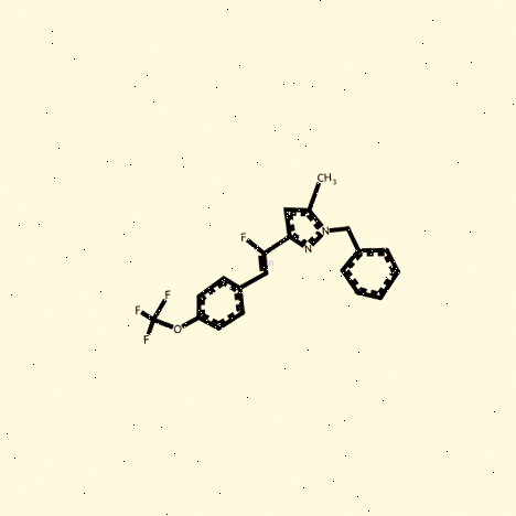 Cc1cc(/C(F)=C/c2ccc(OC(F)(F)F)cc2)nn1Cc1c[c]ccc1